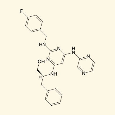 OC[C@H](Cc1ccccc1)Nc1cc(Nc2cnccn2)nc(NCc2ccc(F)cc2)n1